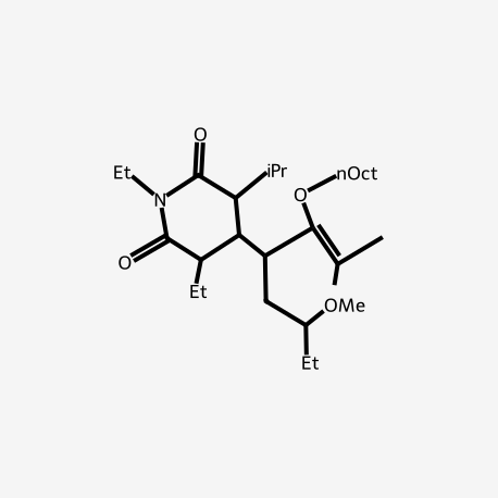 CCCCCCCCOC(=C(C)C)C(CC(CC)OC)C1C(CC)C(=O)N(CC)C(=O)C1C(C)C